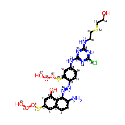 Nc1ccc2cc(SOOO)cc(O)c2c1/N=N/c1ccc(Nc2nc(Cl)nc(NCCSCCO)n2)cc1SOOO